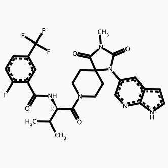 CC(C)[C@@H](NC(=O)c1cc(C(F)(F)F)ccc1F)C(=O)N1CCC2(CC1)C(=O)N(C)C(=O)N2c1cnc2[nH]ccc2c1